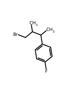 CC(CBr)C(C)c1ccc(F)cc1